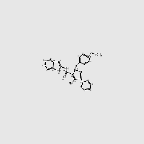 COc1ccc(Cn2nc(-c3ccccc3)c(O)c2C(=O)Nc2nc3ccccc3[nH]2)cc1